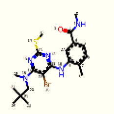 CNC(=O)c1ccc(C)c(Nc2nc(SC)nc(N(C)CC(C)(C)C)c2Br)c1